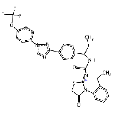 CCc1ccccc1N1C(=O)CS/C1=N\C(=O)NC(CC)c1ccc(-c2ncn(-c3ccc(OC(F)(F)F)cc3)n2)cc1